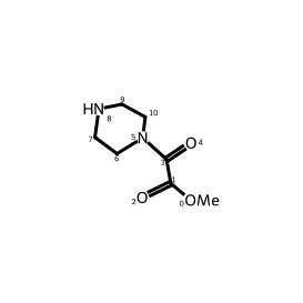 COC(=O)C(=O)N1CCNCC1